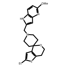 CCc1cc2c(s1)CCOC21CCN(Cc2cc3nc(OC)ccc3[nH]2)CC1